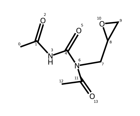 CC(=O)NC(=O)N(CC1CO1)C(C)=O